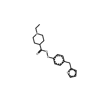 CCN1CCC(C(=O)OOc2ccc(Cc3cccs3)cc2)CC1